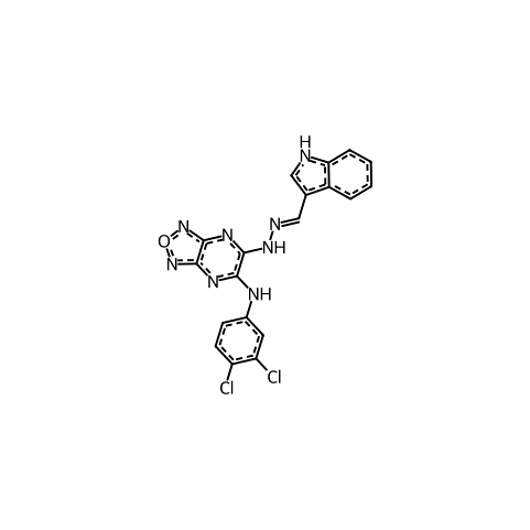 Clc1ccc(Nc2nc3nonc3nc2NN=Cc2c[nH]c3ccccc23)cc1Cl